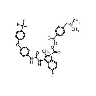 Cc1c(NC(=O)Nc2ccc(Oc3ccc(C(F)(F)F)cc3)cc2)c2cc(F)ccc2n1C(=O)OOC(=O)c1ccc(CN(C)C)cc1